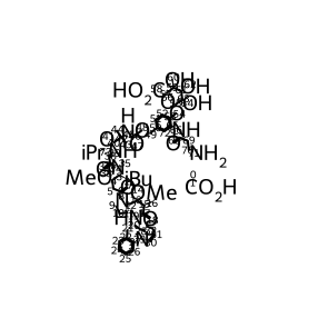 CC(=O)O.CC[C@H](C)[C@@H]([C@@H](CC(=O)N1CCC[C@H]1[C@H](OC)[C@@H](C)C(=O)N[C@@H](Cc1ccccc1)c1nccs1)OC)N(C)C(=O)[C@@H](NC(=O)C(C)(C)NC(=O)OCc1ccc(O[C@@H]2O[C@H](C(=O)O)[C@@H](O)[C@H](O)[C@H]2O)c(NC(=O)CCN)c1)C(C)C